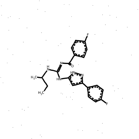 CCC(C)N/C(=N/C(=O)c1ccc(F)cc1)Nc1cc(-c2ccc(F)cc2)n[nH]1